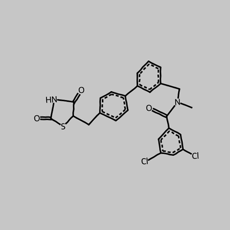 CN(Cc1cccc(-c2ccc(CC3SC(=O)NC3=O)cc2)c1)C(=O)c1cc(Cl)cc(Cl)c1